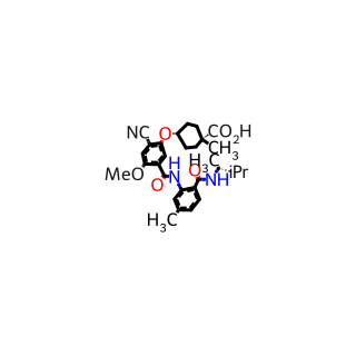 COc1cc(C#N)c(O[C@H]2CC[C@@](C)(C(=O)O)CC2)cc1C(=O)Nc1cc(C)ccc1C(=O)N[C@H](C)C(C)C